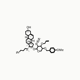 C=CCOC1C(OCc2ccc(OC)cc2)COC(O[C@H]2C[C@H]3[C@@H]4CC=C5C[C@@H](O)CC[C@]5(C)[C@H]4CC[C@]3(C)[C@H]2[C@H](C)CCCC(C)C)C1N=[N+]=[N-]